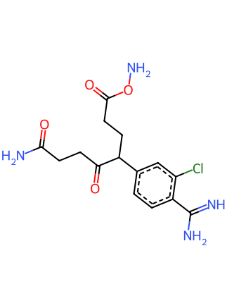 N=C(N)c1ccc(C(CCC(=O)ON)C(=O)CCC(N)=O)cc1Cl